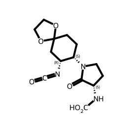 O=C=N[C@@H]1CC2(CC[C@@H]1N1CC[C@H](NC(=O)O)C1=O)OCCO2